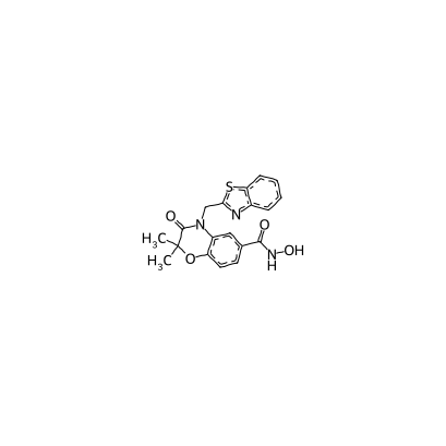 CC1(C)Oc2ccc(C(=O)NO)cc2N(Cc2nc3ccccc3s2)C1=O